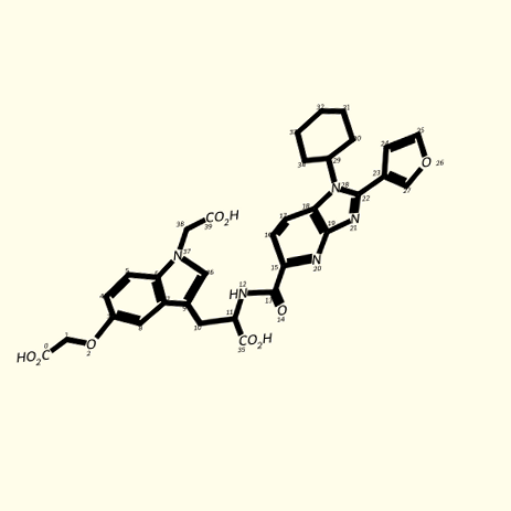 O=C(O)COc1ccc2c(c1)c(CC(NC(=O)c1ccc3c(n1)nc(-c1ccoc1)n3C1CCCCC1)C(=O)O)cn2CC(=O)O